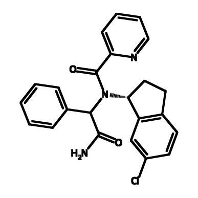 NC(=O)C(c1ccccc1)N(C(=O)c1ccccn1)[C@@H]1CCc2ccc(Cl)cc21